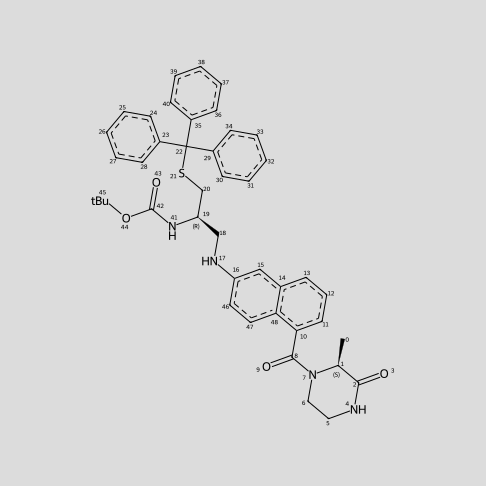 C[C@H]1C(=O)NCCN1C(=O)c1cccc2cc(NC[C@H](CSC(c3ccccc3)(c3ccccc3)c3ccccc3)NC(=O)OC(C)(C)C)ccc12